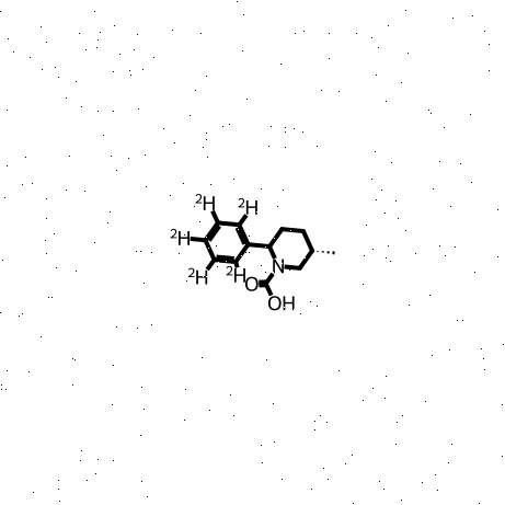 [2H]c1c([2H])c([2H])c(C2CC[C@H](C)CN2C(=O)O)c([2H])c1[2H]